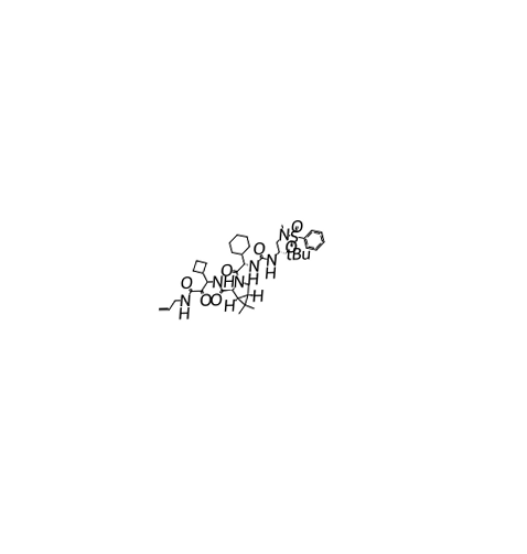 C=CCNC(=O)C(=O)C(NC(=O)[C@@H]1[C@@H]2[C@H](CN1C(=O)[C@@H](NC(=O)N[C@H](CN(C)S(=O)(=O)c1ccccc1)C(C)(C)C)C1CCCCC1)C2(C)C)C1CCC1